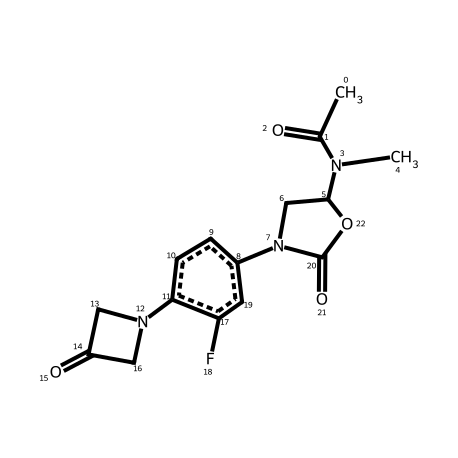 CC(=O)N(C)C1CN(c2ccc(N3CC(=O)C3)c(F)c2)C(=O)O1